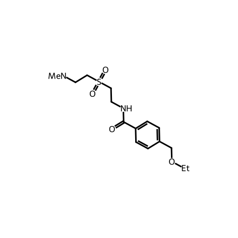 CCOCc1ccc(C(=O)NCCS(=O)(=O)CCNC)cc1